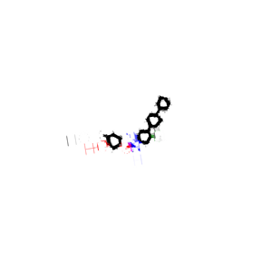 O=C(O)c1ccc(Oc2nc3cc(-c4ccc(-c5ccccc5)cc4)c(Cl)cc3[nH]2)cc1O